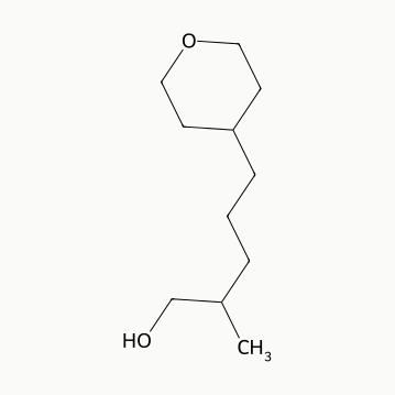 CC(CO)CCCC1CCOCC1